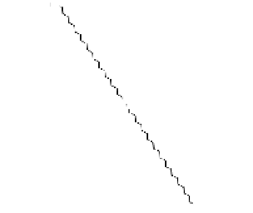 CCCCCCCCCCCCCCCCCCCCCC[P][P]CCCCCCCCCCCCCCCCCCCCCC